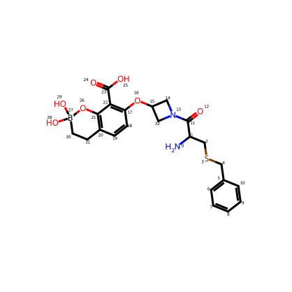 NC(CSCc1ccccc1)C(=O)N1CC(Oc2ccc3c(c2C(=O)O)O[B-](O)(O)CC3)C1